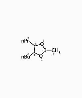 CCCCC1OB(C)OC1CCC